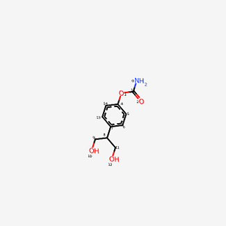 NC(=O)Oc1ccc(C(CO)CO)cc1